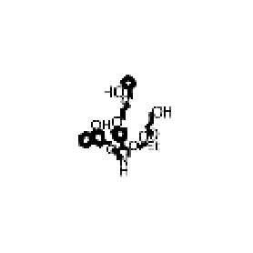 CCC(COC1CNCC(OCc2cc(O)c3ccccc3c2)C1c1ccc(OCCCOCc2ccccc2O)cc1)OC(=O)CCCO